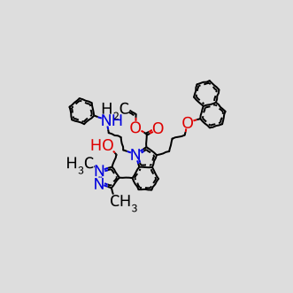 C=COC(=O)c1c(CCCOc2cccc3ccccc23)c2cccc(-c3c(C)nn(C)c3CO)c2n1CCCNc1ccccc1